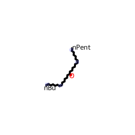 CCCC/C=C\CCCC/C=C\CCCCCC(=O)CCCCC/C=C\CCCC/C=C\CCCCC